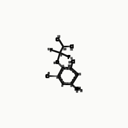 Nc1cc(Cl)c(OC(F)(F)C(Cl)Cl)c(Cl)c1